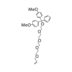 C=CCOCCOCCOCCOCCOC(c1ccccc1)(c1ccc(OC)cc1)c1ccc(OC)cc1